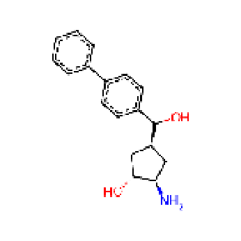 N[C@@H]1C[C@H](C(O)c2ccc(-c3ccccc3)cc2)C[C@H]1O